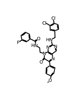 COc1ccc(-c2nc3cnc(NCc4ccc(Cl)c(Cl)c4)nc3n(CCNC(=O)c3cccc(F)c3)c2=O)cc1